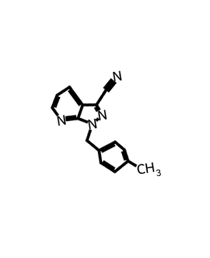 Cc1ccc(Cn2nc(C#N)c3cccnc32)cc1